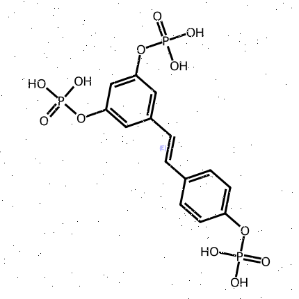 O=P(O)(O)Oc1ccc(/C=C/c2cc(OP(=O)(O)O)cc(OP(=O)(O)O)c2)cc1